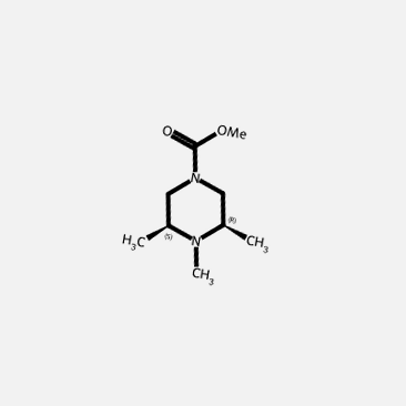 COC(=O)N1C[C@@H](C)N(C)[C@@H](C)C1